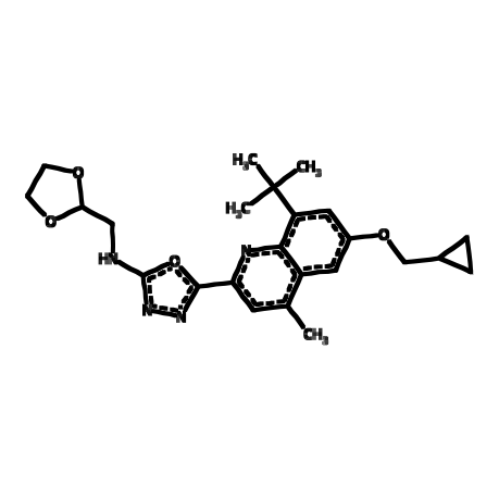 Cc1cc(-c2nnc(NCC3OCCO3)o2)nc2c(C(C)(C)C)cc(OCC3CC3)cc12